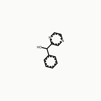 OC(c1ccccc1)c1cnccn1